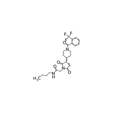 CCCCNC(=O)CN1C(=O)SC(=C2CCN(C(=O)c3ccccc3C(F)(F)F)CC2)C1=O